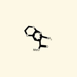 COC(=O)c1cc2c(nc1N)OCCO2